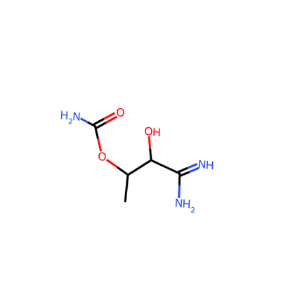 CC(OC(N)=O)C(O)C(=N)N